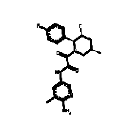 Cc1cc(NC(=O)C(=O)N2C[C@@H](C)C[C@@H](F)[C@H]2c2ccc(F)cc2)cnc1N